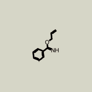 C=CCOC(=N)c1c[c]ccc1